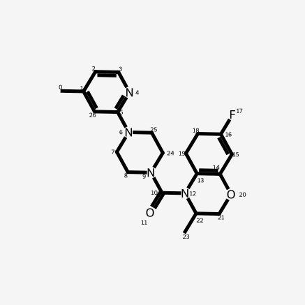 Cc1ccnc(N2CCN(C(=O)N3C4=C(C=C(F)CC4)OCC3C)CC2)c1